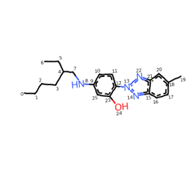 CCCCC(CC)CNc1ccc(-n2nc3ccc(C)cc3n2)c(O)c1